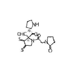 O=C[C@]1(C(=O)[C@@H]2CCCN2)C(=S)C(=S)CN1C(=O)CN1CCCC1=O